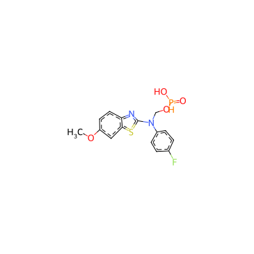 COc1ccc2nc(N(CO[PH](=O)O)c3ccc(F)cc3)sc2c1